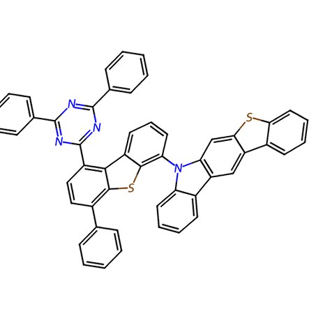 c1ccc(-c2nc(-c3ccccc3)nc(-c3ccc(-c4ccccc4)c4sc5c(-n6c7ccccc7c7cc8c(cc76)sc6ccccc68)cccc5c34)n2)cc1